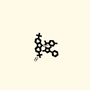 CC1=[C](/[Zr+2](=[C](/C)c2ccc(C)cc2)[CH]2c3cc(C(C)(C)C)ccc3-c3ccc(C(C)(C)C)cc32)C(C)C=C1c1ccccc1.[Cl-].[Cl-]